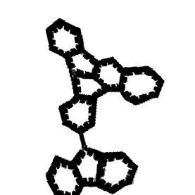 c1ccc2c(c1)cc1c3ccccc3n3c4ccc(-n5c6ccccc6c6ccccc65)cc4c2c13